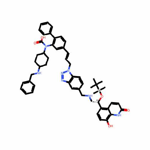 CC(C)(C)[Si](C)(C)O[C@@H](CNCc1ccc2c(c1)nnn2CC=Cc1ccc(-c2ccccc2)c(N(C(=O)O)C2CCC(NCc3ccccc3)CC2)c1)c1ccc(O)c2[nH]c(=O)ccc12